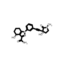 CN1CC[C@@](O)(C#Cc2cccc(-n3nc(C(N)=O)c4c3CCC[C@@H]4O)c2)C1=O